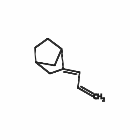 C=CC=C1CC2CCC1C2